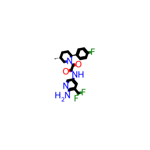 C[C@@H]1CC[C@@H](c2ccc(F)cc2)N(C(=O)C(=O)Nc2cnc(N)c(C(F)F)c2)C1